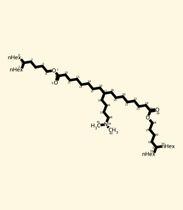 CCCCCCC(CCCCCC)CCCCOC(=O)CCCCCCCC(CCCCCCCC(=O)OCCCCC(CCCCCC)CCCCCC)CCCCN(C)C